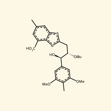 COc1cc([C@@H](O)[C@H](Cc2nc3c(C(=O)O)cc(C)cc3s2)OCC(C)C)cc(OC)c1C